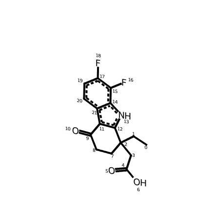 CCC1(CC(=O)O)CCC(=O)c2c1[nH]c1c(F)c(F)ccc21